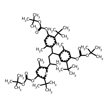 Cc1cc(OC(=O)OC(C)(C)C)c(C(C)(C)C)cc1C(C)CC(c1cc(C(C)(C)C)c(OC(=O)OC(C)(C)C)cc1C)c1cc(C(C)(C)C)c(OC(=O)OC(C)(C)C)cc1C